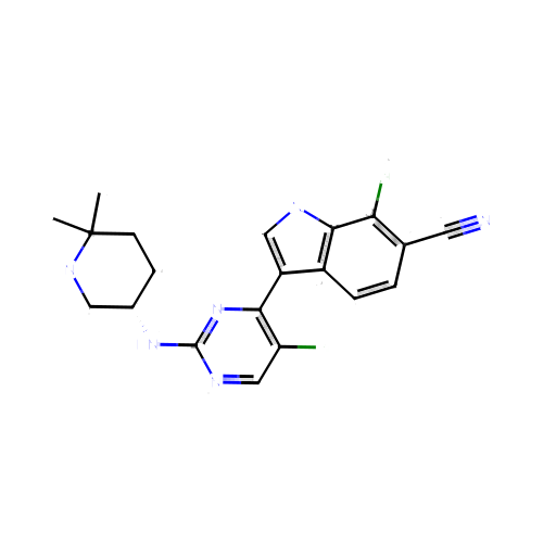 CC1(C)CC[C@H](Nc2ncc(Br)c(-c3c[nH]c4c(Br)c(C#N)ccc34)n2)CN1